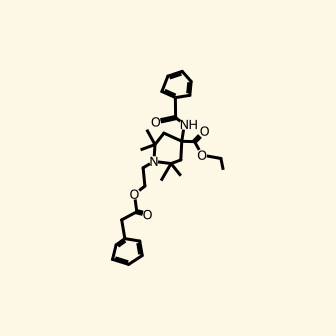 CCOC(=O)C1(NC(=O)c2ccccc2)CC(C)(C)N(CCOC(=O)Cc2ccccc2)C(C)(C)C1